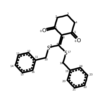 O=C1CCCC(=O)C1=C(SCc1ccccc1)SCc1ccccc1